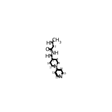 CNCC(=O)NNC1CCN(c2ccncc2)CC1